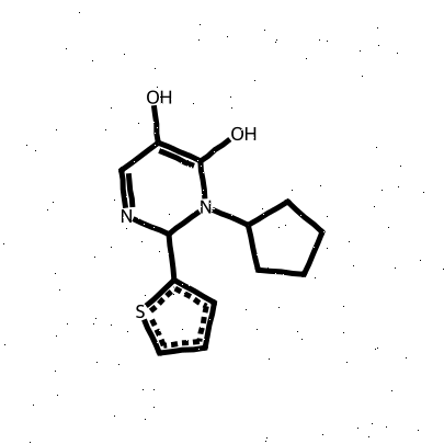 OC1=C(O)N(C2CCCC2)C(c2cccs2)N=C1